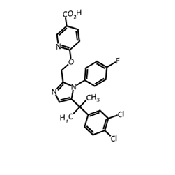 CC(C)(c1ccc(Cl)c(Cl)c1)c1cnc(COc2ccc(C(=O)O)cn2)n1-c1ccc(F)cc1